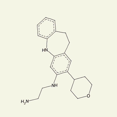 NCCNc1cc2c(cc1C1CCOCC1)CCc1ccccc1N2